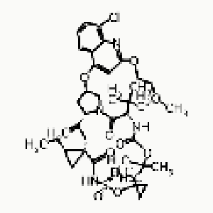 C=C(C[C@]1(C(=O)NS(=O)(=O)OC2(C)CC2)C[C@H]1CC)[C@@H]1C[C@@H](Oc2cc(OCCOC)nc3c(Cl)cccc23)CN1C(=O)[C@@H](NC(=O)OC(C)(C)C)C(C)(C)C